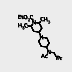 CCOC(=O)N1C(C)CC(N2CCC(N(CC(C)C)C(C)=O)CC2)CC1C